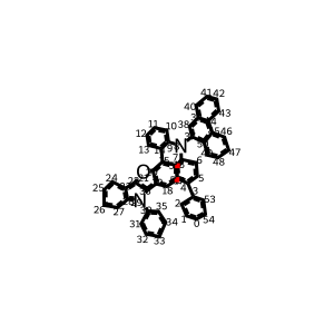 c1ccc(-c2ccc(N(c3ccccc3-c3cccc4c3oc3c5ccccc5n(-c5ccccc5)c43)c3cc4ccccc4c4ccccc34)cc2)cc1